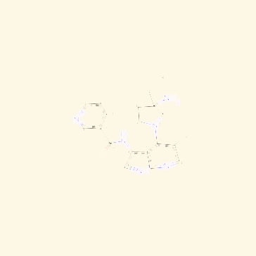 CC1(N)CCN(c2c(Br)cnc3[nH]cc(NC(=O)c4cccnc4)c23)C1.Cl